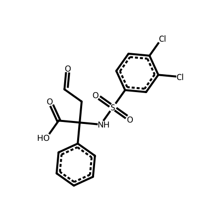 O=CCC(NS(=O)(=O)c1ccc(Cl)c(Cl)c1)(C(=O)O)c1ccccc1